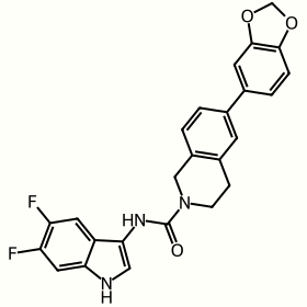 O=C(Nc1c[nH]c2cc(F)c(F)cc12)N1CCc2cc(-c3ccc4c(c3)OCO4)ccc2C1